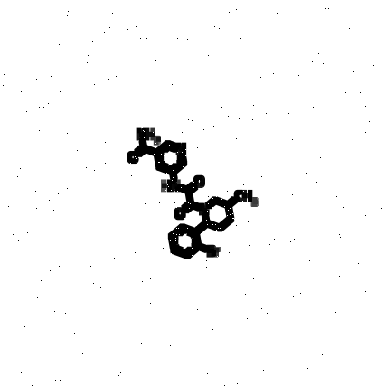 CC1CCC(c2ccccc2Br)N(C(=O)C(=O)Nc2cncc(C(N)=O)c2)C1